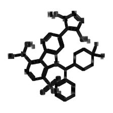 Cc1nnn(C)c1-c1cnc2c3c(N(C)C(C)C)ncc(S(C)(=O)=O)c3n(C(c3ccccc3)C3CCC(F)(F)CC3)c2c1